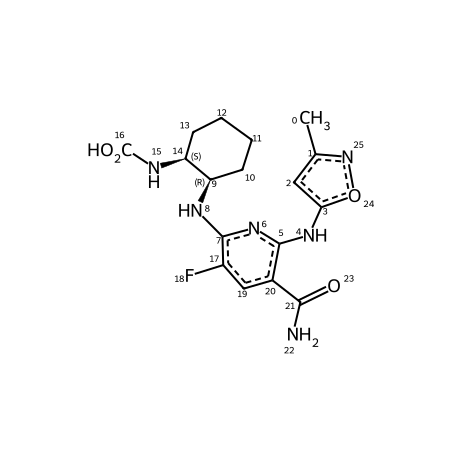 Cc1cc(Nc2nc(N[C@@H]3CCCC[C@@H]3NC(=O)O)c(F)cc2C(N)=O)on1